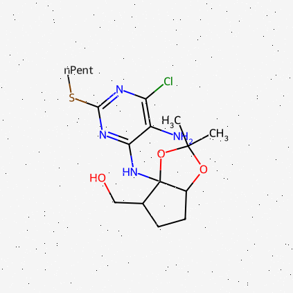 CCCCCSc1nc(Cl)c(N)c(NC23OC(C)(C)OC2CCC3CO)n1